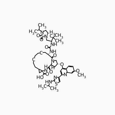 COc1ccc2c(O[C@@H]3C[C@H]4C(=O)N[C@]5(C(=O)O)CC5CCCCCCC[C@H](NC(=O)NC(CN5CCN(C(C)C)S5(=O)=O)C(C)(C)C)C(=O)N4C3)cc(-c3csc(NC(C)C)n3)nc2c1